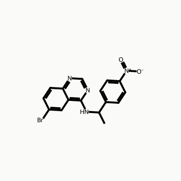 CC(Nc1ncnc2ccc(Br)cc12)c1ccc([N+](=O)[O-])cc1